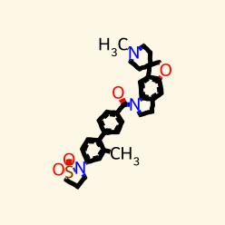 Cc1cc(N2CCCS2(=O)=O)ccc1-c1ccc(C(=O)N2CCc3cc4c(cc32)C2(CCN(C)CC2)CO4)cc1